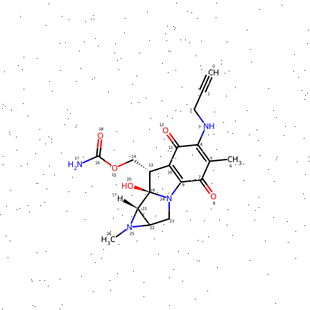 C#CCNC1=C(C)C(=O)C2=C(C1=O)[C@@H](COC(N)=O)[C@@]1(O)[C@@H]3C(CN21)N3C